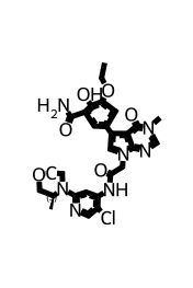 CCOc1cc(-c2cn(CC(=O)Nc3cc(N4CCOC[C@@H]4C)ncc3Cl)c3ncn(C)c(=O)c23)cc(C(N)=O)c1O